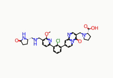 COc1nc(-c2cccc(-c3ccn4c(=O)c(CN5CCC[C@H]5C(=O)O)cnc4c3)c2Cl)ccc1CNC[C@@H]1CCC(=O)N1